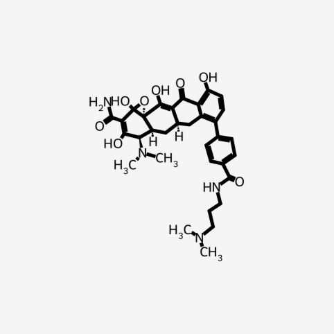 CN(C)CCCNC(=O)c1ccc(-c2ccc(O)c3c2C[C@H]2C[C@H]4[C@@H](N(C)C)C(O)=C(C(N)=O)C5(O)O[C@]45C(O)=C2C3=O)cc1